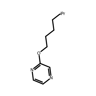 CC(C)CCCCOc1cnccn1